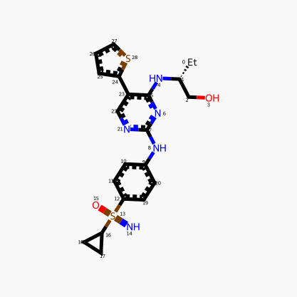 CC[C@H](CO)Nc1nc(Nc2ccc(S(=N)(=O)C3CC3)cc2)ncc1-c1cccs1